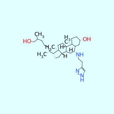 CC(CO)CCC[C@@H](C)[C@H]1CC[C@H]2[C@@H]3C[C@@H](NCCc4c[nH]cn4)C4C[C@@H](O)CC[C@]4(C)[C@H]3CC[C@]12C